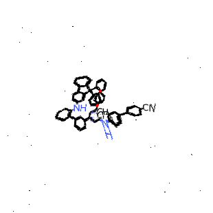 C/C(=C\C(=C/C(C)Nc1ccc(-c2ccc(C#N)cc2)cc1)C1C=C(C2=C(Nc3ccc4c(c3)C(c3ccccc3)(c3ccccc3)c3ccccc3-4)CCC=C2)C=CC1)c1ccccc1